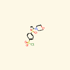 C=CC(N1CCOCC1)S(=O)(=O)c1ccc(S(=O)(=O)Cl)cc1